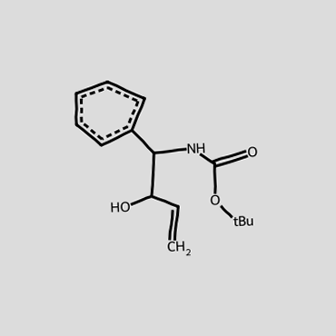 C=CC(O)C(NC(=O)OC(C)(C)C)c1ccccc1